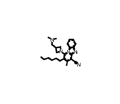 CCCCCCc1c(C)c(C#N)c2nc3ccccc3n2c1N1CC(CN(C)C)C1